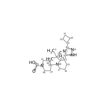 CC(C)(C)C1C(c2nc(C3CCC3)n[nH]2)CCCN1C1CCN(C(=O)O)CC1